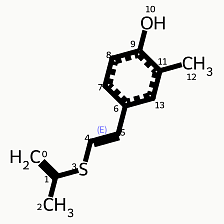 C=C(C)S/C=C/c1ccc(O)c(C)c1